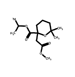 [3H]C(C)OC(=O)C1(CC(=O)OC)CCCC(C)(C)O1